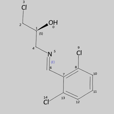 O[C@H](CCl)C/N=C/c1c(Cl)cccc1Cl